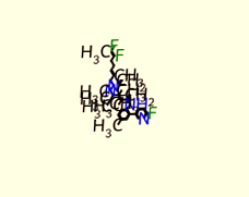 C=CN(C/C(C)=C/CC/C(F)=C(\C)F)N(C)C(/C(C)=C(\C)C(=C)Nc1ccc(C)cc1-c1ccc(F)nc1)C(C)(C)C